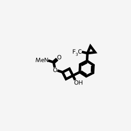 CNC(=O)OC1CC(O)(c2cccc(C3(C(F)(F)F)CC3)c2)C1